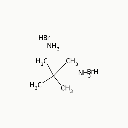 Br.Br.CC(C)(C)C.N.N